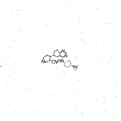 CN(C)[C@H]1CC[C@H](Nc2ncnc3ccc(-c4ccncc4C#N)cc23)CC1